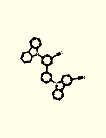 N#Cc1cc(-c2cccc(-n3c4ccccc4c4cc(C#N)ccc43)c2)cc(N2c3ccccc3C3C=CC=CC32)c1